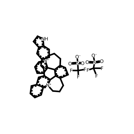 C(=C\c1cc2ccccc2[n+]2c1-c1c(ccc3c1-c1cccc[n+]1CCC3)CCC2)/c1ccc2[nH]ccc2c1.O=S(=O)([O-])C(F)(F)F.O=S(=O)([O-])C(F)(F)F